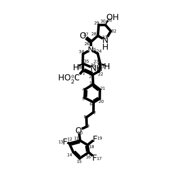 O=C(O)C1=C(c2ccc(CCCOc3c(F)ccc(F)c3F)cc2)C[C@H]2CN(C(=O)C3C[C@@H](O)CN3)C[C@@H]1N2